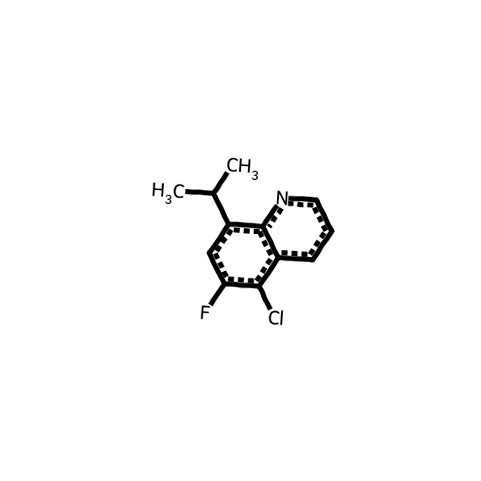 CC(C)c1cc(F)c(Cl)c2cccnc12